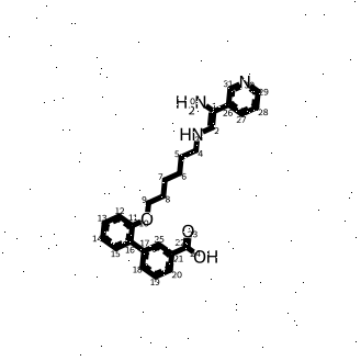 N/C(=C\NCCCCCCOc1ccccc1-c1cccc(C(=O)O)c1)c1cccnc1